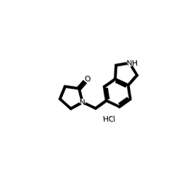 Cl.O=C1CCCN1Cc1ccc2c(c1)CNC2